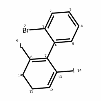 Brc1ccccc1C1=C(I)[CH]CC=C1I